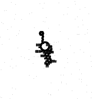 CCC(=O)O[C@@H]1C(C)O[C@@H](O[C@@H]2C(C)O[C@@H](O[C@H]3[C@@H](CC=O)C[C@@H](C)[C@@H](O)CN(CCCCc4ccccc4)CCCNC(=O)C[C@@H](OC(=O)CC)[C@@H]3OC)C(O)C2N(C)C)CC1(C)OC(C)=O